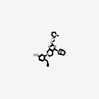 C#CCc1ccc(O)cc1N1CCc2c(nc(OC[C@@H]3CCCN3C)nc2N2CC3CCC(C2)N3)C1